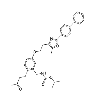 CC(=O)CCc1ccc(OCCc2nc(-c3ccc(-c4ccccc4)cc3)oc2C)cc1CNC(=O)OC(C)C